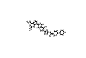 Nc1nc(Cl)nc2c1ncn2C1CCC(C(=O)Nc2nc(CC(=O)N3CCC(N4CCCCC4)CC3)cs2)CC1